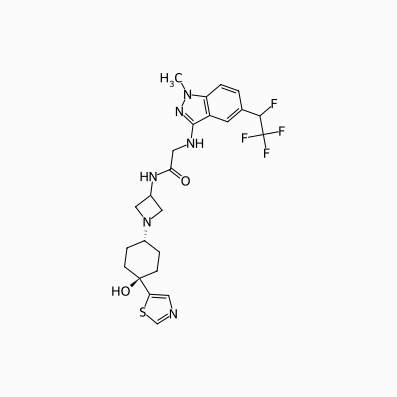 Cn1nc(NCC(=O)NC2CN([C@H]3CC[C@@](O)(c4cncs4)CC3)C2)c2cc(C(F)C(F)(F)F)ccc21